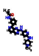 C=CC(=O)Nc1cccc(-c2nccc3cnc(Nc4ccc(NC5CCN(C)CC5)nc4)nc23)c1